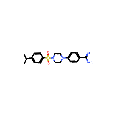 CC(C)c1ccc(S(=O)(=O)N2CCN(c3ccc(C(=N)N)cc3)CC2)cc1